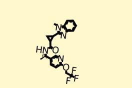 C[C@@H](NC(=O)C1CC1c1nc2ccccc2n1C)c1ccc(OCC(F)(F)F)nc1